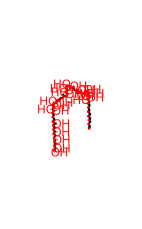 C=CCC/C=C/C=C/C=C/CC/C=C/[C@@H](O)[C@@H](O)C1O[C@@H]([C@H](O)[C@H](O)C(=C)CCC(O)[C@H]2C[C@@H](O)[C@@H](O)C([C@@H](O)[C@H](O)/C=C(\C)CC[C@H](O)C[C@H](O)[C@@H](O)[C@@H](C)C[C@H](O)[C@@H](O)CCCCCC(O)CCC[C@@H](O)/C=C/C[C@@H](O)/C=C/C[C@H](O)CO)O2)CC(O)C1O